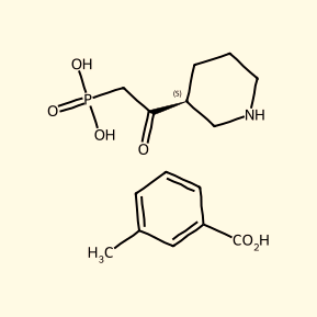 Cc1cccc(C(=O)O)c1.O=C(CP(=O)(O)O)[C@H]1CCCNC1